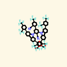 N#Cc1cc(C(F)(F)F)ccc1-c1cc(-n2c3cc(-c4ccc(C(F)(F)F)cc4C(F)(F)F)ccc3c3ccc(-c4ccc(C(F)(F)F)cc4C(F)(F)F)cc32)c(C#N)c(-n2c3cc(-c4ccc(C(F)(F)F)cc4C(F)(F)F)ccc3c3ccc(-c4ccc(C(F)(F)F)cc4C(F)(F)F)cc32)c1